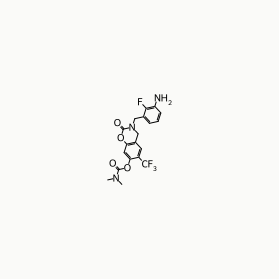 CN(C)C(=O)Oc1cc2c(cc1C(F)(F)F)CN(Cc1cccc(N)c1F)C(=O)O2